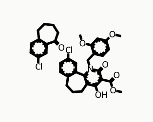 COC(=O)c1c(O)c2c(n(Cc3ccc(OC)cc3OC)c1=O)-c1cc(Cl)ccc1CCC2.O=C1CCCCc2ccc(Cl)cc21